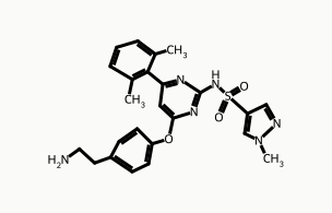 Cc1cccc(C)c1-c1cc(Oc2ccc(CCN)cc2)nc(NS(=O)(=O)c2cnn(C)c2)n1